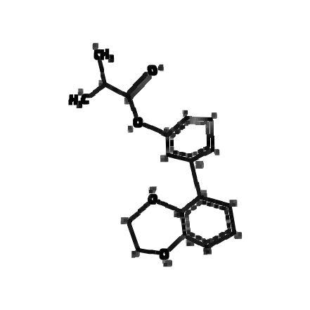 CC(C)C(=O)Oc1cccc(-c2cccc3c2OCCO3)c1